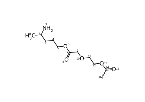 CC(N)CCCOC(=O)COCCOC(=O)I